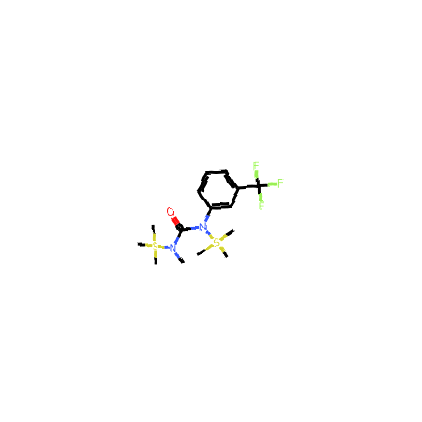 CN(C(=O)N(c1cccc(C(F)(F)F)c1)S(C)(C)C)S(C)(C)C